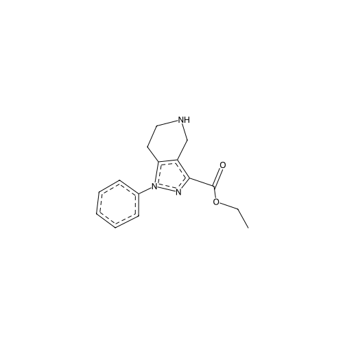 CCOC(=O)c1nn(-c2ccccc2)c2c1CNCC2